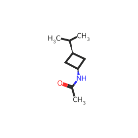 CC(=O)N[C@H]1C[C@@H](C(C)C)C1